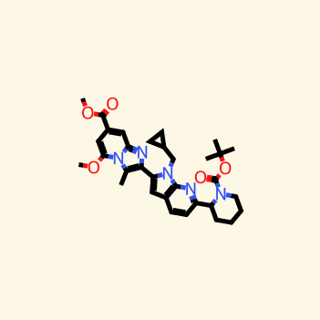 COC(=O)c1cc(OC)n2c(C)c(-c3cc4ccc(C5CCCCN5C(=O)OC(C)(C)C)nc4n3CC3CC3)nc2c1